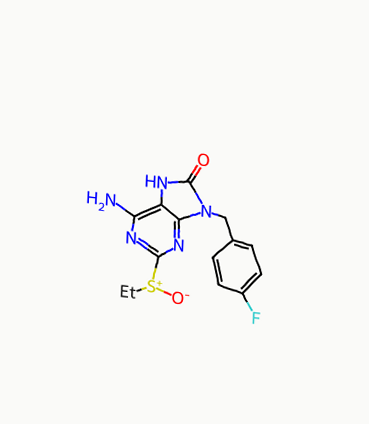 CC[S+]([O-])c1nc(N)c2[nH]c(=O)n(Cc3ccc(F)cc3)c2n1